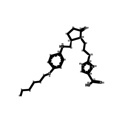 CCCCCCOc1ccc(NC[C@H]2CCC(=O)N2CCSc2nc(C(=O)O)cs2)cc1